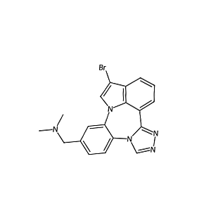 CN(C)Cc1ccc2c(c1)n1cc(Br)c3cccc(c4nncn24)c31